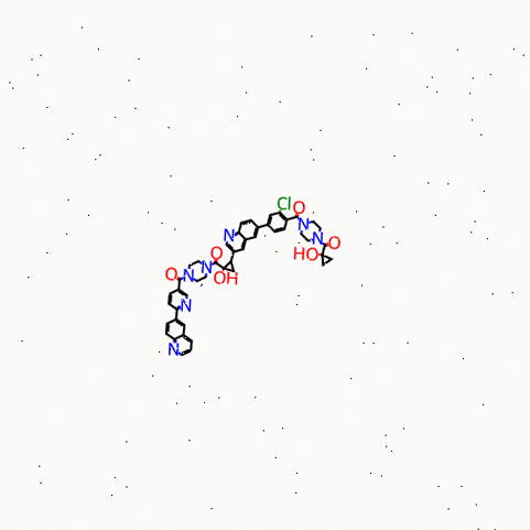 O=C(c1ccc(-c2ccc3ncccc3c2)nc1)N1CCN(C(=O)C2(O)CC2c2cnc3ccc(-c4ccc(C(=O)N5CCN(C(=O)C6(O)CC6)CC5)c(Cl)c4)cc3c2)CC1